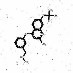 CNCc1cccc(Oc2cc(C)nc3cc(SC(C)(C)C)ccc23)c1